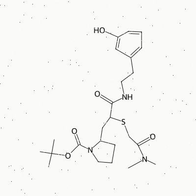 CN(C)C(=O)CSC(CC1CCCN1C(=O)OC(C)(C)C)C(=O)NCCc1cccc(O)c1